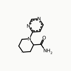 NC(=O)C1C[CH]CCN1c1ccncn1